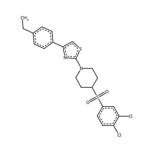 CCc1ccc(-c2csc(N3CCC(S(=O)(=O)c4ccc(Cl)c(Cl)c4)CC3)n2)cc1